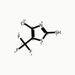 FC(F)(F)c1sc(S)nc1Cl